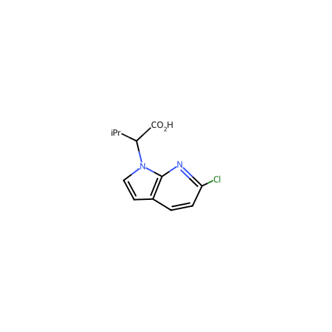 CC(C)C(C(=O)O)n1ccc2ccc(Cl)nc21